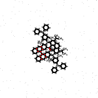 Cc1cc(N(c2ccccc2)c2ccccc2)cc(C)c1B(c1c(C)cc(N(c2ccccc2)c2ccccc2)cc1C)c1cc(C(C)C)c2ccc3c(C(C)C)cc(B(c4c(C)cc(N(c5ccccc5)c5ccccc5)cc4C)c4c(C)cc(N(c5ccccc5)c5ccccc5)cc4C)c4ccc1c2c43